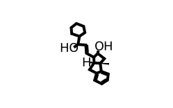 C[C@]12CC(O)C(C=CC(O)C3CCCCC3)[C@H]1Cc1ccccc12